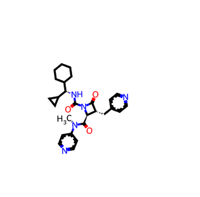 CN(C(=O)[C@@H]1[C@@H](Cc2ccncc2)C(=O)N1C(=O)N[C@@H](C1CCCCC1)C1CC1)c1ccncc1